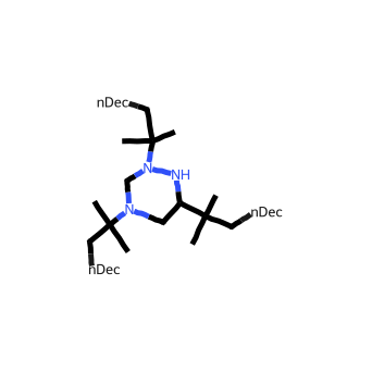 CCCCCCCCCCCC(C)(C)C1CN(C(C)(C)CCCCCCCCCCC)CN(C(C)(C)CCCCCCCCCCC)N1